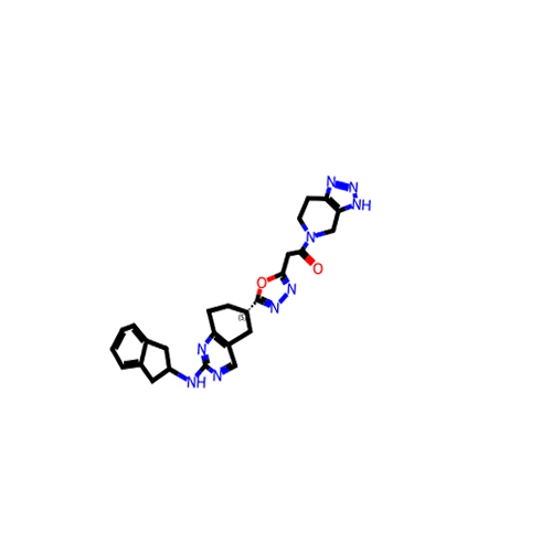 O=C(Cc1nnc([C@H]2CCc3nc(NC4Cc5ccccc5C4)ncc3C2)o1)N1CCc2nn[nH]c2C1